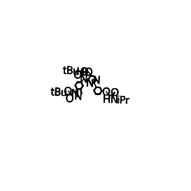 CC(C)NC(=O)COc1cccc(-c2ncc(O)c(N(C(=O)OC(C)(C)C)c3ccc4c(cnn4C(=O)OC(C)(C)C)c3)n2)c1